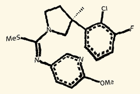 COc1ccc(/N=C(/SC)N2CC[C@@](C)(c3cccc(F)c3Cl)C2)cn1